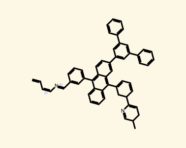 C=C/C=C\N=C\c1cccc(-c2c3ccccc3c(C3=CC=CC(C4=CCC(C)C=N4)C3)c3cc(-c4cc(-c5ccccc5)cc(-c5ccccc5)c4)ccc23)c1